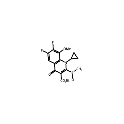 CCOC(=O)c1c([S+](C)[O-])n(C2CC2)c2c(OC)c(F)c(F)cc2c1=O